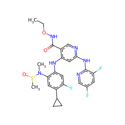 CCONC(=O)c1cnc(Nc2ncc(F)cc2F)cc1Nc1cc(F)c(C2CC2)cc1N(C)[S+](C)[O-]